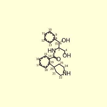 O=C(NC(CO)[C@@H](O)c1ccccc1)c1ccccc1C1CCNCC1